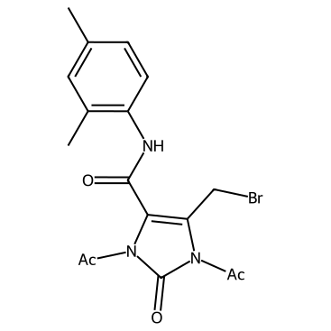 CC(=O)n1c(CBr)c(C(=O)Nc2ccc(C)cc2C)n(C(C)=O)c1=O